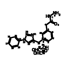 NNC(=O)Cc1ccc[n+](Cc2cn(-c3ccccc3)nn2)c1.O=CO.O=C[O-]